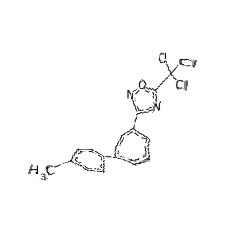 Cc1ccc(-c2cccc(-c3noc(C(Cl)(Cl)Cl)n3)c2)cc1